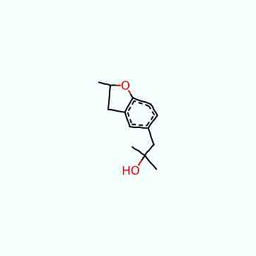 CC1Cc2cc(CC(C)(C)O)ccc2O1